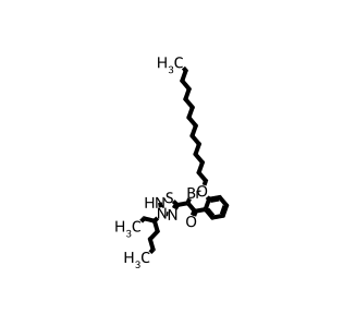 CCCCCCCCCCCCCCOc1ccccc1C(=O)C(Br)C1=NN(C(CC)CCCC)NS1